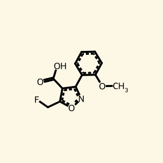 COc1ccccc1-c1noc(CF)c1C(=O)O